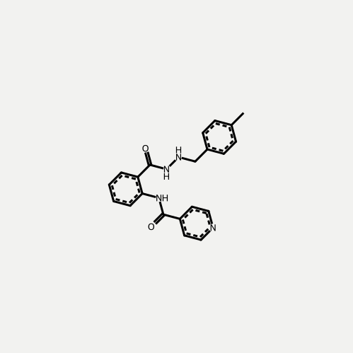 Cc1ccc(CNNC(=O)c2ccccc2NC(=O)c2ccncc2)cc1